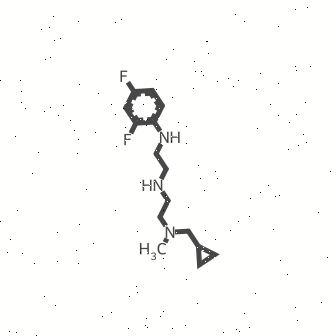 CN(CCNCCNc1ccc(F)cc1F)CC1CC1